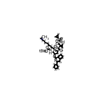 C/C=C\CCCCC[C@H](NC(=O)OC(C)(C)C)C(=O)N1C[C@H](Oc2nc(-c3ccccc3)cc3ccccc23)C[C@H]1C(=O)NC1(C(=O)NS(=O)(=O)C2CC2)CC1